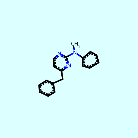 CN(c1ccccc1)c1nccc(Cc2ccccc2)n1